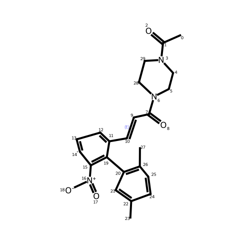 CC(=O)N1CCN(C(=O)/C=C/c2cc[c]c([N+](=O)[O-])c2-c2cc(C)ccc2C)CC1